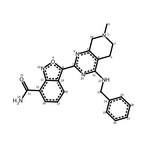 CN1CCc2c(nc(-c3onc4c(C(N)=O)cccc34)nc2NCc2ccccc2)C1